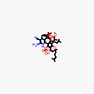 COC(=O)/C(C)=C\CC12OC(C)(C)C3CC(C1=O)C1C(C#N)=C(N)NC4=C1C32Oc1c(CC=C(C)C)c2c(c(OP(=O)(O)O)c14)C=CC(C)(CCC=C(C)C)O2